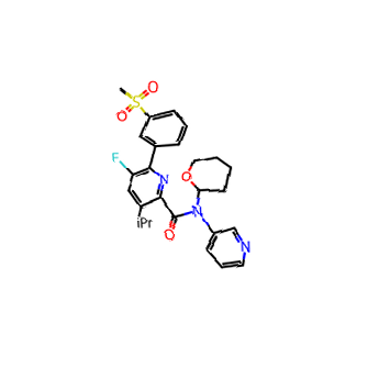 CC(C)c1cc(F)c(-c2cccc(S(C)(=O)=O)c2)nc1C(=O)N(c1cccnc1)C1CCCCO1